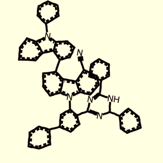 N#Cc1cccc2c1c1c(-c3cccc4c3c3ccccc3n4-c3ccccc3)cccc1n2-c1cc(-c2ccccc2)ccc1C1=NC(c2ccccc2)NC(c2ccccc2)=N1